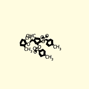 Cc1ccc(S(=O)(=O)Oc2cc(C=O)c(COc3c(C)cccc3C)cc2OS(=O)(=O)c2ccc(C)cc2)cc1